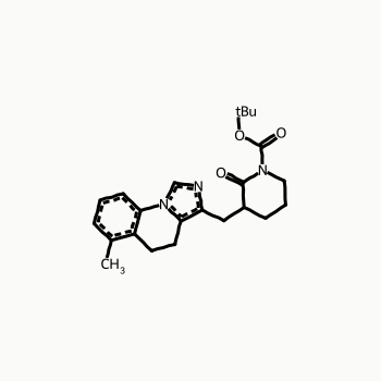 Cc1cccc2c1CCc1c(CC3CCCN(C(=O)OC(C)(C)C)C3=O)ncn1-2